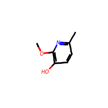 COc1nc(C)ccc1O